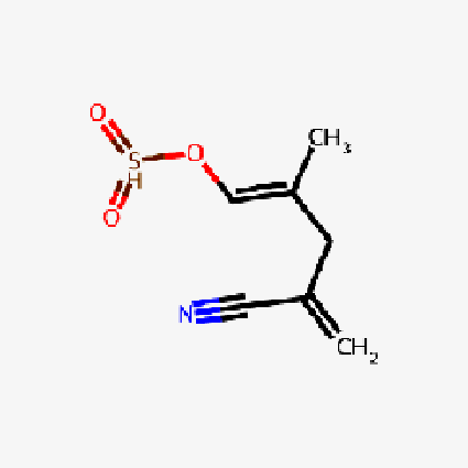 C=C(C#N)CC(C)=CO[SH](=O)=O